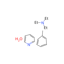 CCN(CC)CC.Cc1ccccc1.O.c1ccncc1